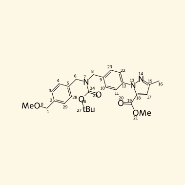 COCc1ccc(CN(Cc2ccc(-n3nc(C)cc3C(=O)OC)cc2)C(=O)OC(C)(C)C)cc1